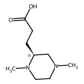 CN1CCN(C)[C@@H](CCC(=O)O)C1